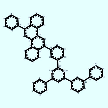 c1ccc(-c2cc(-c3cccc(-c4cccnc4)c3)nc(-c3cccc(-c4cc5c6ccccc6c(-c6ccccc6)cc5c5ccccc45)c3)n2)cc1